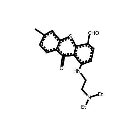 CCN(CC)CCNc1ccc(C=O)c2sc3cc(C)ccc3c(=O)c12